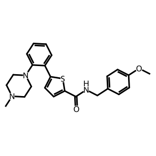 COc1ccc(CNC(=O)c2ccc(-c3ccccc3N3CCN(C)CC3)s2)cc1